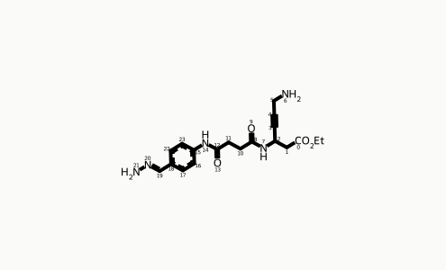 CCOC(=O)CC(C#CCN)NC(=O)CCC(=O)Nc1ccc(C=NN)cc1